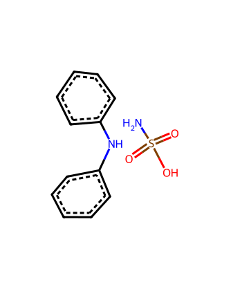 NS(=O)(=O)O.c1ccc(Nc2ccccc2)cc1